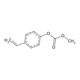 C=Cc1ccc(OC(=O)OC)cc1